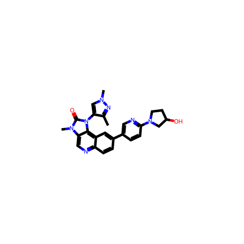 Cc1nn(C)cc1-n1c(=O)n(C)c2cnc3ccc(-c4ccc(N5CCC(O)C5)nc4)cc3c21